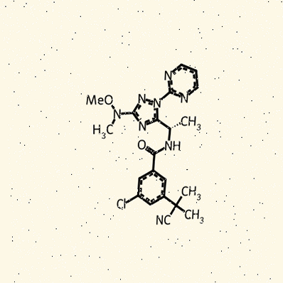 CON(C)c1nc([C@H](C)NC(=O)c2cc(Cl)cc(C(C)(C)C#N)c2)n(-c2ncccn2)n1